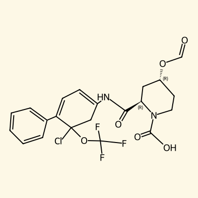 O=CO[C@@H]1CCN(C(=O)O)[C@@H](C(=O)NC2=CC=C(c3ccccc3)C(Cl)(OC(F)(F)F)C2)C1